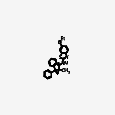 CCOc1ccc2nc(NC(=O)C3(C)CC3(c3ccccc3)c3ccccc3)sc2c1